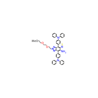 COCCOCCOCCn1nc2c(-c3ccc(N(c4ccccc4)c4ccccc4)cc3)c(N)c(N=S)c(-c3ccc(N(c4ccccc4)c4ccccc4)cc3)c2n1